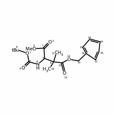 COC(=O)C(NC(=O)OC(C)(C)C)C(C)(C)C(=O)OCc1ccccc1